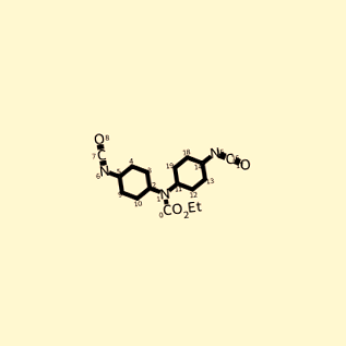 CCOC(=O)N(C1CCC(N=C=O)CC1)C1CCC(N=C=O)CC1